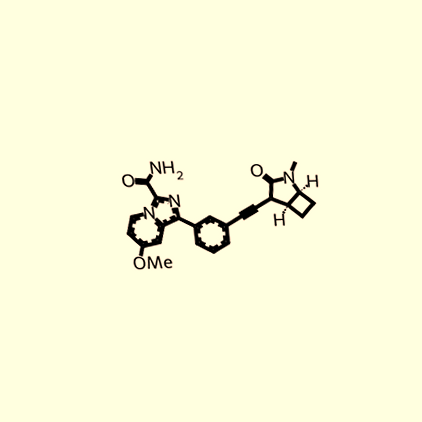 COc1ccn2c(C(N)=O)nc(-c3cccc(C#CC4C(=O)N(C)[C@H]5CC[C@@H]45)c3)c2c1